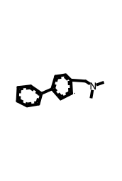 CN(C)Cc1[c]cc(-c2ccccc2)cc1